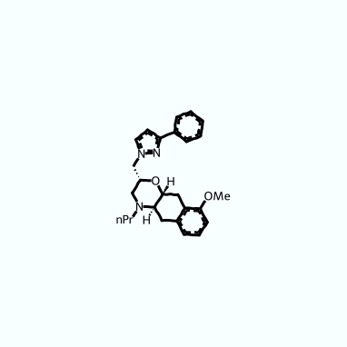 CCCN1C[C@H](Cn2ccc(-c3ccccc3)n2)O[C@@H]2Cc3c(cccc3OC)C[C@H]21